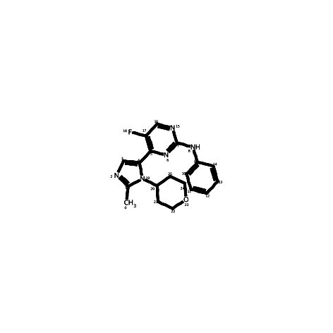 Cc1ncc(-c2nc(Nc3cc[c]cc3)ncc2F)n1C1CCOCC1